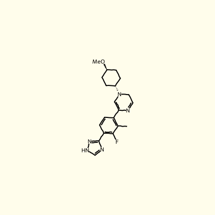 CO[C@H]1CC[C@H](N2C=C(c3ccc(-c4nc[nH]n4)c(F)c3C)N=CC2)CC1